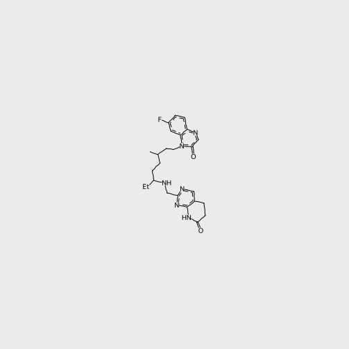 CCC(CCC(C)CCn1c(=O)cnc2ccc(F)cc21)NCc1ncc2c(n1)NC(=O)CC2